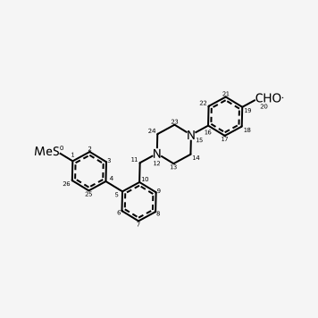 CSc1ccc(-c2ccccc2CN2CCN(c3ccc([C]=O)cc3)CC2)cc1